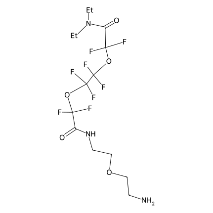 CCN(CC)C(=O)C(F)(F)OC(F)(F)C(F)(F)OC(F)(F)C(=O)NCCOCCN